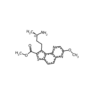 COC(=O)c1sc2ccc3nc(OC)cnc3c2c1CC[C@@H](C)N